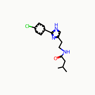 CC(C)CC(=O)NCCc1c[nH]c(-c2ccc(Cl)cc2)n1